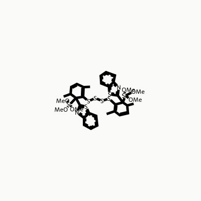 CO[Si](OC)(OC)C1(c2nc3ccccc3s2)C(SSSSC2=C(C)C=CC(C)C2(c2nc3ccccc3s2)[Si](OC)(OC)OC)=C(C)C=CC1C